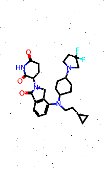 O=C1CCC(N2Cc3c(cccc3N(CCC3CC3)C3CCC(N4CCC(F)(F)C4)CC3)C2=O)C(=O)N1